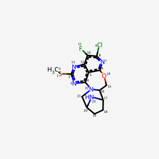 CSc1nc2c3c(nc(Cl)c(F)c3n1)OCC1C3CCC(CN21)N3